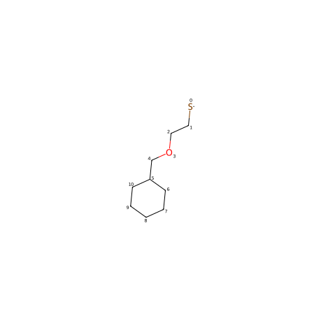 [S]CCOCC1CCCCC1